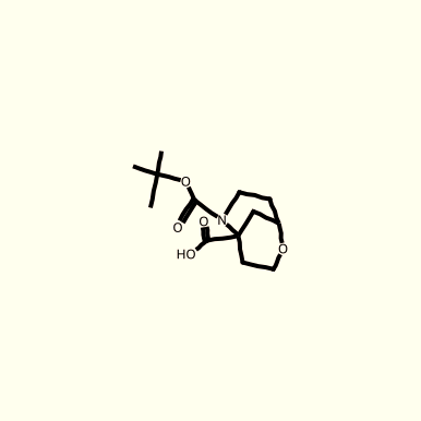 CC(C)(C)OC(=O)N1CCC2CC1(C(=O)O)CCO2